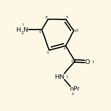 CCCNC(=O)C1=CC(N)CC=C1